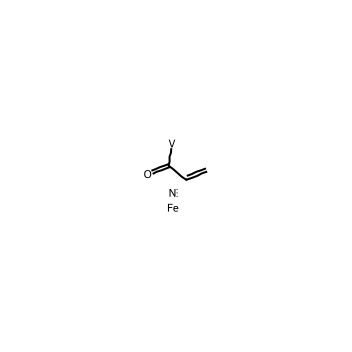 C=C[C](=O)[V].[Fe].[N]